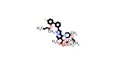 C=CCOC1(C)CCN(c2c(C(OC(C)(C)C)C(=O)O)c(C)cn3nc(-c4cccc(-c5ccc(F)cc5O[C@@H](C)CC=C)c4)cc23)CC1